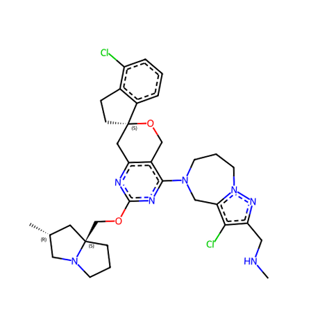 CNCc1nn2c(c1Cl)CN(c1nc(OC[C@@]34CCCN3C[C@H](C)C4)nc3c1CO[C@@]1(CCc4c(Cl)cccc41)C3)CCC2